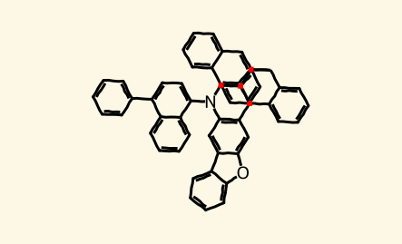 c1ccc(-c2ccc(N3c4cc5c(cc4C46c7ccccc7C(c7cc8ccccc8cc74)c4cccc3c46)oc3ccccc35)c3ccccc23)cc1